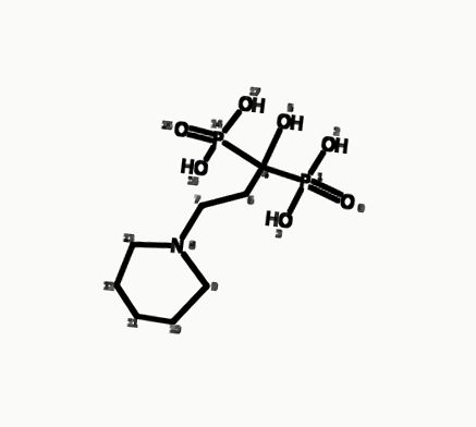 O=P(O)(O)C(O)(CCN1CCCCC1)P(=O)(O)O